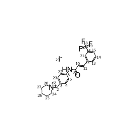 C[N+]1(Cc2ccc(NC(=O)C=Cc3cccc(C(F)(F)F)c3)cc2)CCCCC1.[I-]